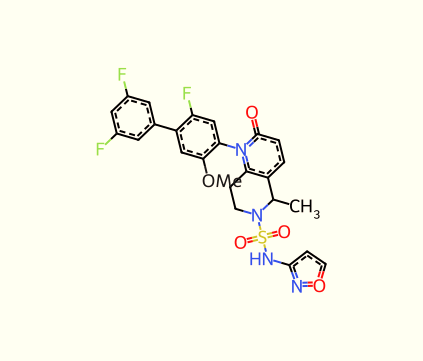 COc1cc(-c2cc(F)cc(F)c2)c(F)cc1-n1c2c(ccc1=O)C(C)N(S(=O)(=O)Nc1ccon1)CC2